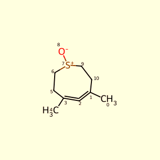 CC1=C=C(C)CC[S+]([O-])CC1